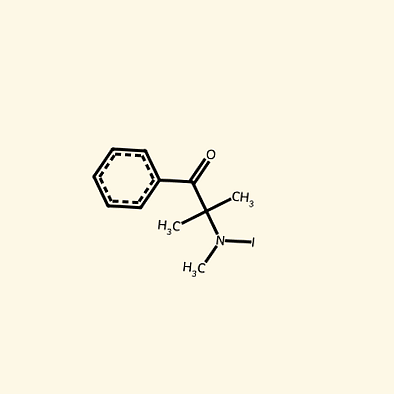 CN(I)C(C)(C)C(=O)c1ccccc1